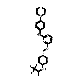 CC(N[C@H]1CC[C@H](COc2ccnc(Nc3ccc(N4CCOCC4)cc3)n2)CC1)C(F)(F)F